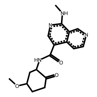 CNc1ncc(C(=O)NC2CC(OC)CCC2=O)c2ccncc12